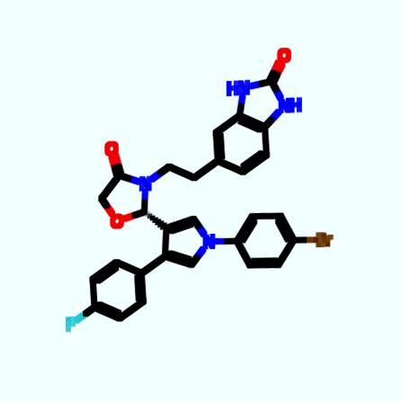 O=C1CO[C@@H](c2cn(-c3ccc(Br)cc3)cc2-c2ccc(F)cc2)N1CCc1ccc2[nH]c(=O)[nH]c2c1